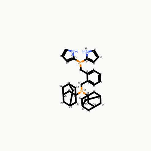 c1c[nH]c(P(Cc2ccccc2CP(C23CC4CC(CC(C4)C2)C3)C23CC4CC(CC(C4)C2)C3)c2ccc[nH]2)c1